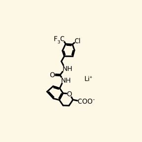 O=C(NCc1ccc(Cl)c(C(F)(F)F)c1)Nc1cccc2c1OC(C(=O)[O-])CC2.[Li+]